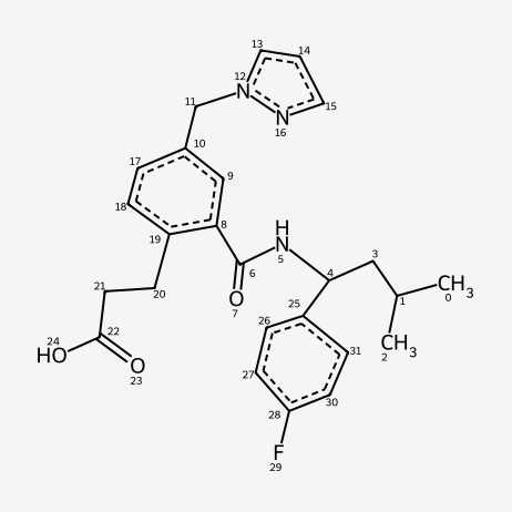 CC(C)CC(NC(=O)c1cc(Cn2cccn2)ccc1CCC(=O)O)c1ccc(F)cc1